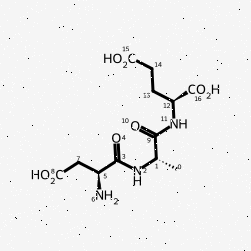 C[C@H](NC(=O)[C@@H](N)CC(=O)O)C(=O)N[C@@H](CCC(=O)O)C(=O)O